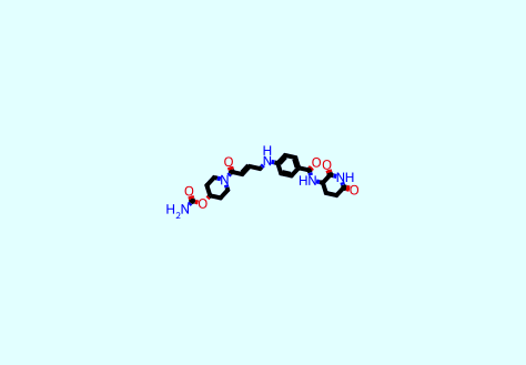 NC(=O)OC1CCN(C(=O)C=CCNc2ccc(C(=O)NC3CCC(=O)NC3=O)cc2)CC1